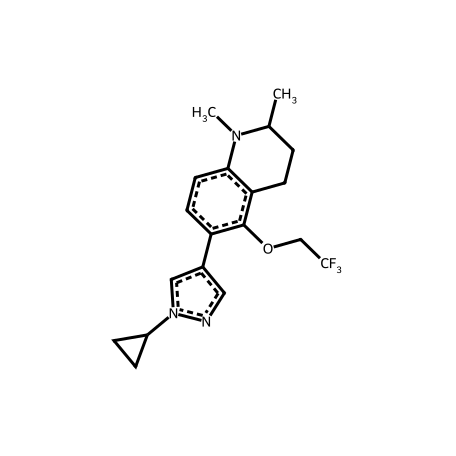 CC1CCc2c(ccc(-c3cnn(C4CC4)c3)c2OCC(F)(F)F)N1C